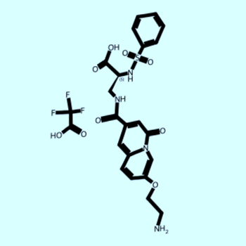 NCCOc1ccc2cc(C(=O)NC[C@H](NS(=O)(=O)c3ccccc3)C(=O)O)cc(=O)n2c1.O=C(O)C(F)(F)F